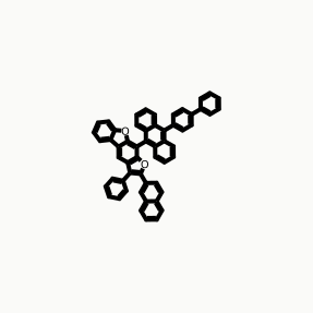 c1ccc(-c2ccc(-c3c4ccccc4c(-c4c5oc(-c6ccc7ccccc7c6)c(-c6ccccc6)c5cc5c4oc4ccccc45)c4ccccc34)cc2)cc1